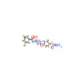 NC(=O)Cc1ccc(OCCNCC(O)c2cc(F)cc(F)c2)cc1